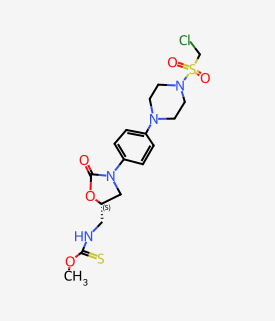 COC(=S)NC[C@H]1CN(c2ccc(N3CCN(S(=O)(=O)CCl)CC3)cc2)C(=O)O1